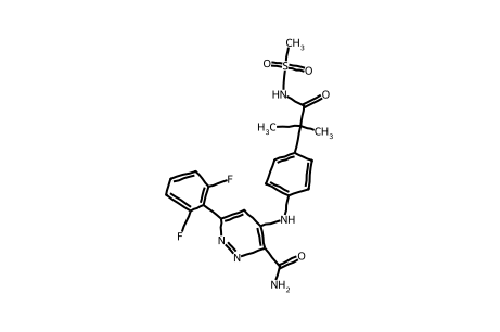 CC(C)(C(=O)NS(C)(=O)=O)c1ccc(Nc2cc(-c3c(F)cccc3F)nnc2C(N)=O)cc1